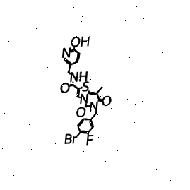 Cc1c(=O)n(Cc2ccc(Br)c(F)c2)c(=O)n2cc(C(=O)NCc3ccc(O)nc3)sc12